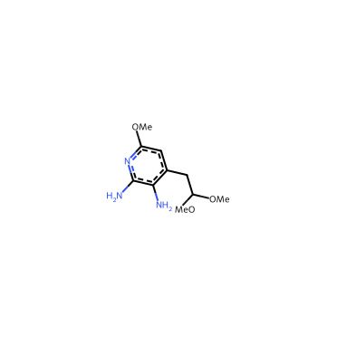 COc1cc(CC(OC)OC)c(N)c(N)n1